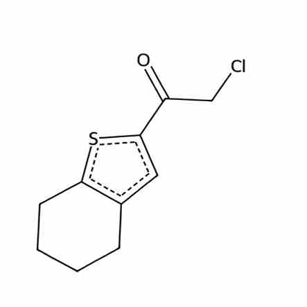 O=C(CCl)c1cc2c(s1)CCCC2